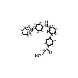 N#CCNC(=O)c1ccc(-c2ccnc(Nc3ccc(N4CC5CCC(C4)O5)cc3)n2)cc1